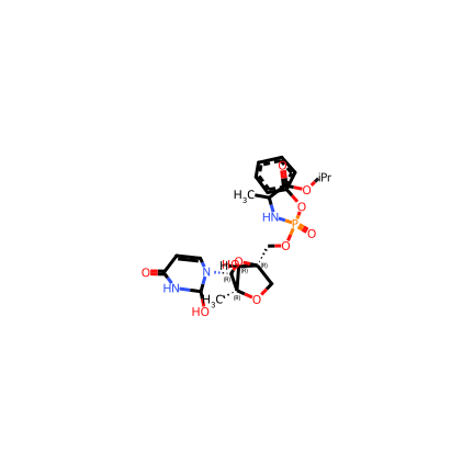 CC(C)OC(=O)C(C)NP(=O)(OC[C@]12CO[C@](C)([C@@H]1O)[C@H](N1C=CC(=O)NC1O)O2)Oc1ccccc1